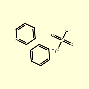 CS(=O)(=O)O.c1ccccc1.c1ccncc1